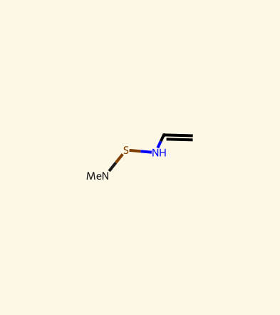 C=CNSNC